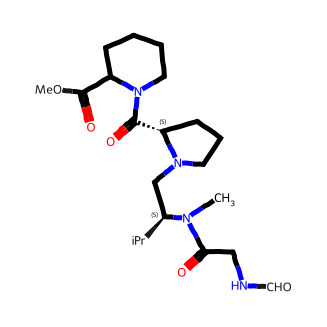 COC(=O)C1CCCCN1C(=O)[C@@H]1CCCN1C[C@H](C(C)C)N(C)C(=O)CNC=O